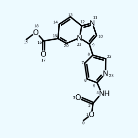 COC(=O)Nc1ccc(-c2cnc3ccc(C(=O)OC)cn23)cn1